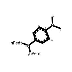 CCCCCN(CCCCC)c1ccc(N(C)C)cc1